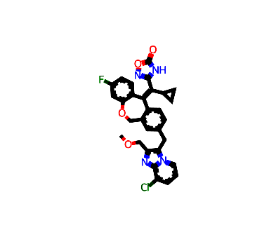 COCc1nc2c(Cl)cccn2c1Cc1ccc2c(c1)COc1cc(F)ccc1C2=C(c1noc(=O)[nH]1)C1CC1